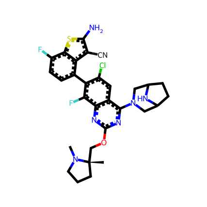 CN1CCC[C@@]1(C)COc1nc(N2CC3CCC(C2)N3)c2cc(Cl)c(-c3ccc(F)c4sc(N)c(C#N)c34)c(F)c2n1